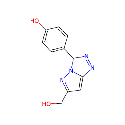 OCc1cc2n(n1)C(c1ccc(O)cc1)N=N2